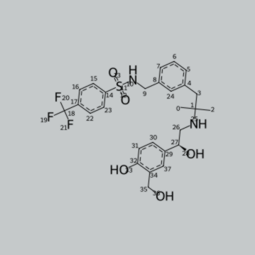 CC(C)(Cc1cccc(CNS(=O)(=O)c2ccc(C(F)(F)F)cc2)c1)NC[C@@H](O)c1ccc(O)c(CO)c1